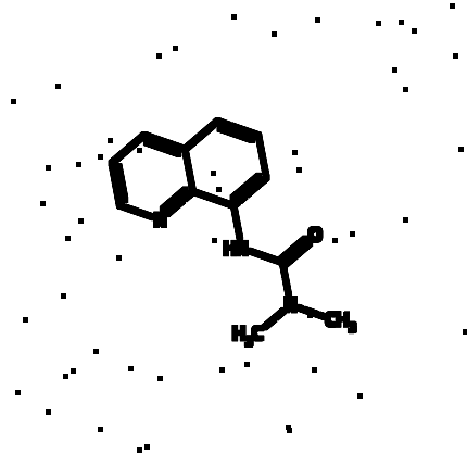 CN(C)C(=O)Nc1cccc2cccnc12